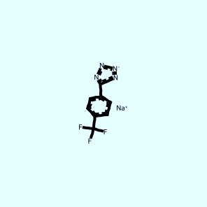 FC(F)(F)c1ccc(-c2nn[n-]n2)cc1.[Na+]